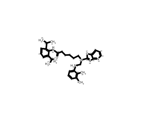 Cc1cccc([SiH2]CN(CCCCCC(=O)Nc2c(C(C)C)cccc2C(C)C)c2nc3ncccc3o2)c1C